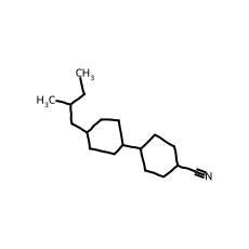 CCC(C)CC1CCC(C2CCC(C#N)CC2)CC1